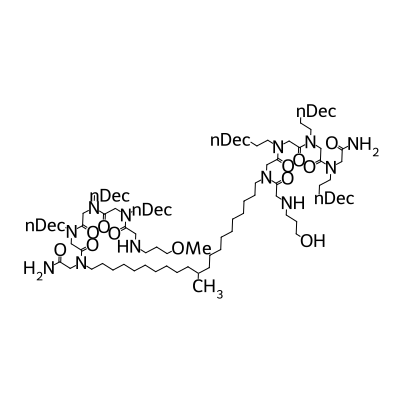 CCCCCCCCCCCCN(CC(N)=O)C(=O)CN(CCCCCCCCCCCC)C(=O)CN(CCCCCCCCCCCC)C(=O)CN(CCCCCCCCCCC(C)CCCCCCCCCCN(CC(N)=O)C(=O)CN(CCCCCCCCCC)C(=O)CN(CCCCCCCCCC)C(=O)CN(CCCCCCCCCC)C(=O)CNCCCOC)C(=O)CNCCCO